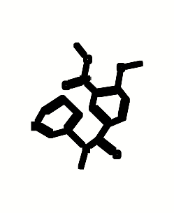 COc1ccc(C(=O)N(C)c2cccnc2)cc1[N+](=O)OC